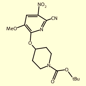 COc1cc([N+](=O)[O-])c(C#N)nc1OC1CCN(C(=O)OC(C)(C)C)CC1